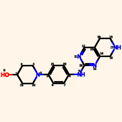 OC1CCN(c2ccc(Nc3ncc4c(n3)CNCC4)cc2)CC1